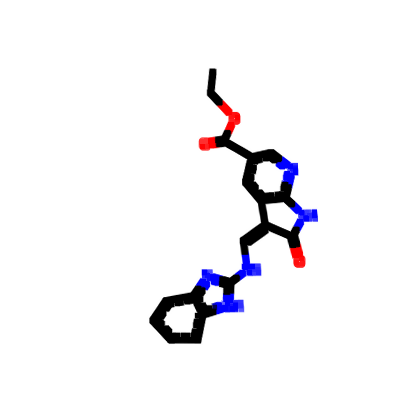 CCOC(=O)c1cnc2c(c1)/C(=C/Nc1nc3ccccc3[nH]1)C(=O)N2